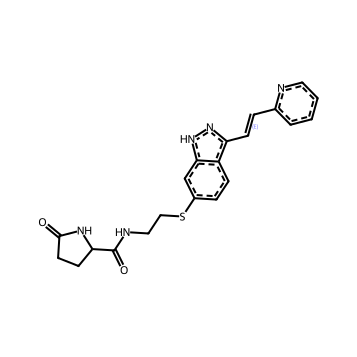 O=C1CCC(C(=O)NCCSc2ccc3c(/C=C/c4ccccn4)n[nH]c3c2)N1